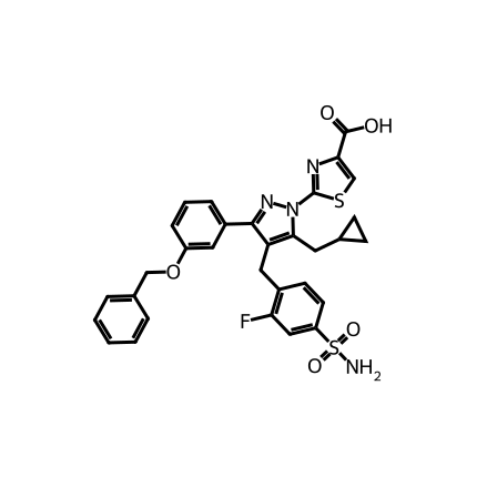 NS(=O)(=O)c1ccc(Cc2c(-c3cccc(OCc4ccccc4)c3)nn(-c3nc(C(=O)O)cs3)c2CC2CC2)c(F)c1